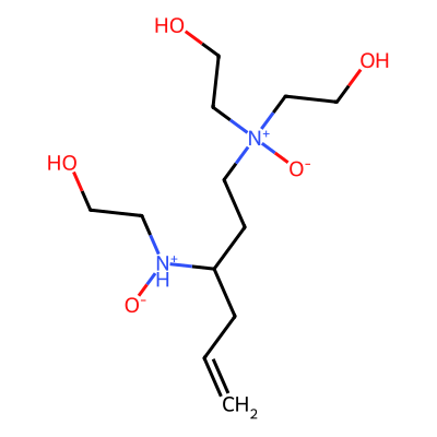 C=CCC(CC[N+]([O-])(CCO)CCO)[NH+]([O-])CCO